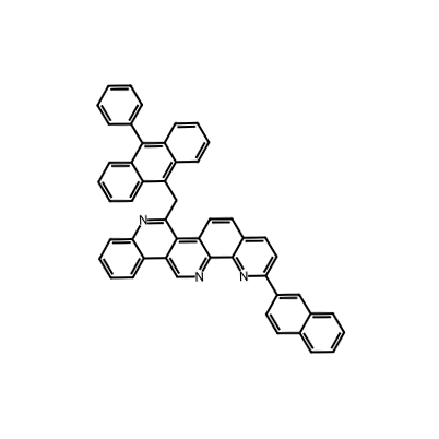 c1ccc(-c2c3ccccc3c(Cc3nc4ccccc4c4cnc5c(ccc6ccc(-c7ccc8ccccc8c7)nc65)c34)c3ccccc23)cc1